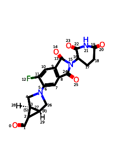 O=CC1[C@H]2CN(c3cc4c(cc3F)C(=O)N(C3CCC(=O)NC3=O)C4=O)C[C@@H]12